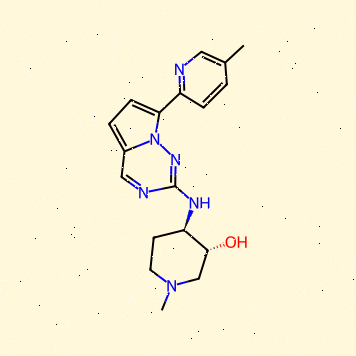 Cc1ccc(-c2ccc3cnc(N[C@@H]4CCN(C)C[C@H]4O)nn23)nc1